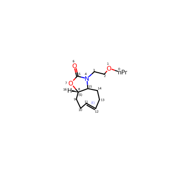 CCCOCCN1C(=O)O[C@H]2CC/C=C/CCC21